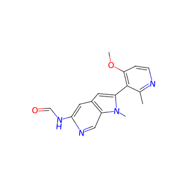 COc1ccnc(C)c1-c1cc2cc(NC=O)ncc2n1C